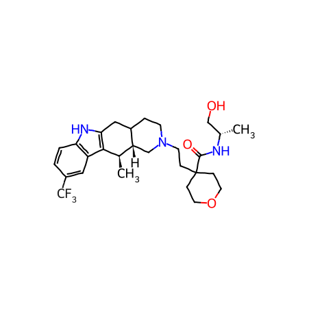 C[C@@H](CO)NC(=O)C1(CCN2CCC3Cc4[nH]c5ccc(C(F)(F)F)cc5c4[C@H](C)[C@H]3C2)CCOCC1